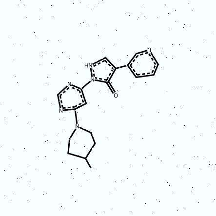 CC1CCN(c2cc(-n3[nH]cc(-c4cccnc4)c3=O)ncn2)CC1